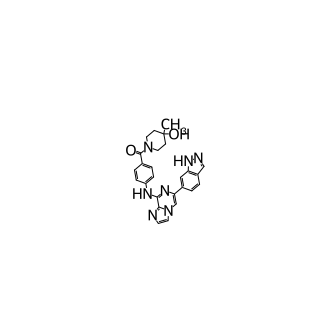 CC1(O)CCN(C(=O)c2ccc(Nc3nc(-c4ccc5cn[nH]c5c4)cn4ccnc34)cc2)CC1